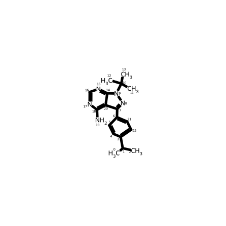 CC(C)c1ccc(-c2nn(C(C)(C)C)c3ncnc(N)c23)cc1